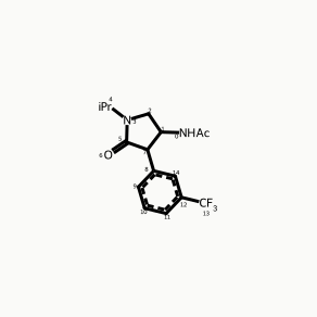 CC(=O)NC1CN(C(C)C)C(=O)C1c1cccc(C(F)(F)F)c1